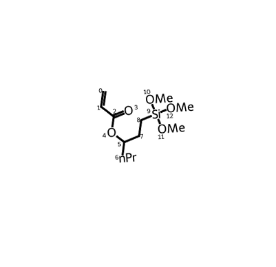 C=CC(=O)OC(CCC)CC[Si](OC)(OC)OC